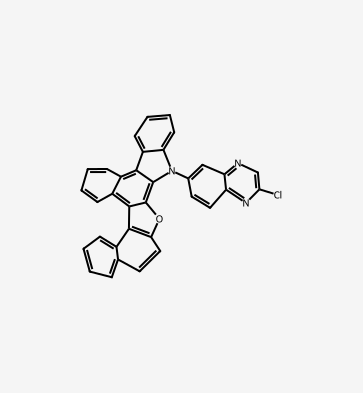 Clc1cnc2cc(-n3c4ccccc4c4c5ccccc5c5c(oc6ccc7ccccc7c65)c43)ccc2n1